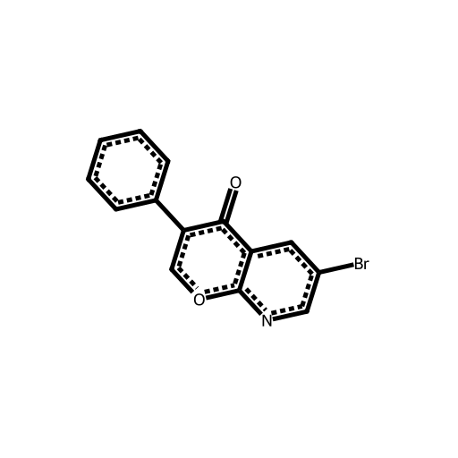 O=c1c(-c2ccccc2)coc2ncc(Br)cc12